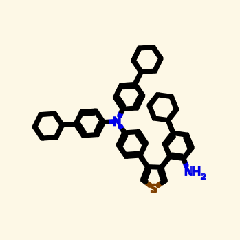 Nc1ccc(C2CCCCC2)cc1-c1cscc1-c1ccc(N(c2ccc(C3CCCCC3)cc2)c2ccc(C3CCCCC3)cc2)cc1